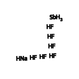 F.F.F.F.F.F.[NaH].[SbH3]